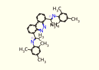 C/C(=N\c1c(C)cc(C)cc1C)c1cccc2c1nnc1c(/C(C)=N/c3c(C)cc(C)cc3C)cccc12